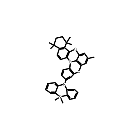 Cc1cc2c3c(c1)Oc1c(ccc4c1C(C)(C)CCC4(C)C)B3c1ccc(N3c4ccccc4[Si](C)(C)c4ccccc43)cc1O2